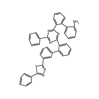 Nc1ccccc1-c1ccccc1-c1nc(-c2ccccc2)nc(-c2ccccc2-c2cccc(-c3nnc(-c4ccccc4)s3)c2)n1